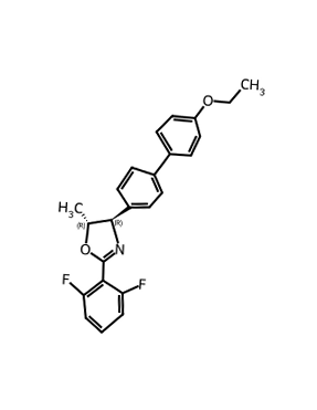 CCOc1ccc(-c2ccc([C@H]3N=C(c4c(F)cccc4F)O[C@@H]3C)cc2)cc1